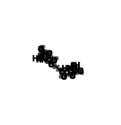 COc1cc2c(cc1OCCCCCOc1cc3c(cc1OC)C(=O)N1CC(OC)C[C@H]1[C@H](S)N3)N[C@@H](S)[C@@H]1CC(OC)CN1C2=O